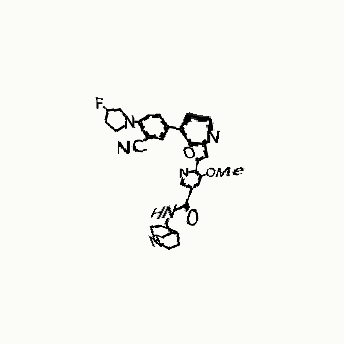 COc1cc(C(=O)NC2CN3CCC2CC3)cnc1-c1cc2nccc(-c3ccc(N4CC[C@H](F)C4)c(C#N)c3)c2o1